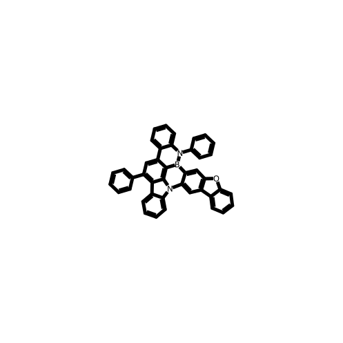 c1ccc(-c2cc3c4c5c2c2ccccc2n5-c2cc5c(cc2B4N(c2ccccc2)c2ccccc2-3)oc2ccccc25)cc1